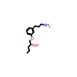 CCC[C@H](O)COc1cccc(CCCN)c1